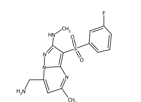 CNc1nn2c(CN)cc(C)nc2c1S(=O)(=O)c1cccc(F)c1